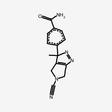 CC1(c2ccc(C(N)=O)cc2)N=NC2=C1CN(C#N)C2